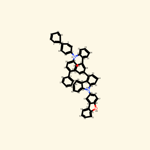 c1ccc(-c2ccc(N(c3ccc(-c4ccccc4)cc3)c3ccccc3-c3cccc(-c4cccc5c4c4ccccc4n5-c4ccc5oc6ccccc6c5c4)c3)cc2)cc1